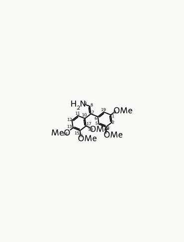 COc1cc(OC)cc(C(=CN)c2ccc(OC)c(OC)c2OC)c1